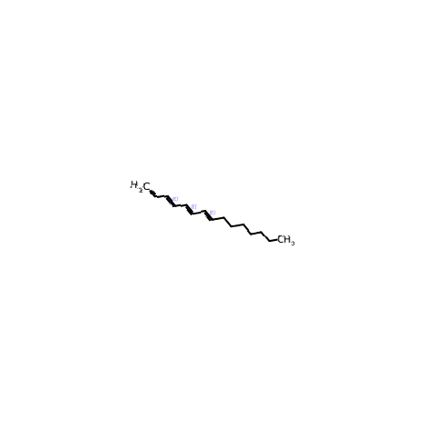 C=C/C=C/C=C/C=C/CCCCCCC